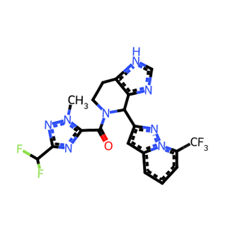 Cn1nc(C(F)F)nc1C(=O)N1CCc2[nH]cnc2C1c1cc2cccc(C(F)(F)F)n2n1